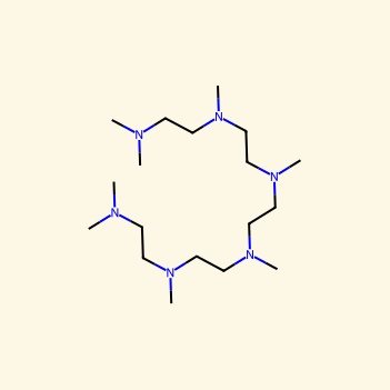 CN(C)CCN(C)CCN(C)CCN(C)CCN(C)CCN(C)C